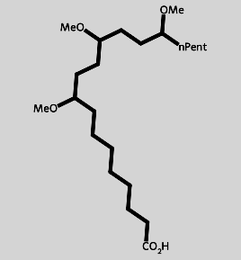 CCCCCC(CCC(CCC(CCCCCCCC(=O)O)OC)OC)OC